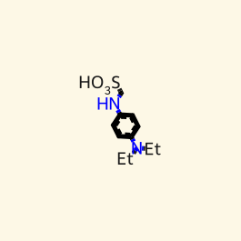 CCN(CC)c1ccc(NCS(=O)(=O)O)cc1